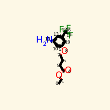 CCOC(=O)CCCOc1cc(N)cc(C(F)(F)F)c1